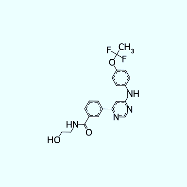 CC(F)(F)Oc1ccc(Nc2cc(-c3cccc(C(=O)NCCO)c3)ncn2)cc1